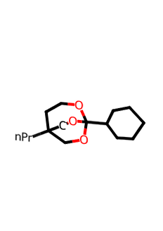 CCCC12CCOC(C3CCCCC3)(OC1)OC2